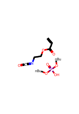 C=CC(=O)OCCN=C=O.CCCCOP(=O)(O)OCCCC